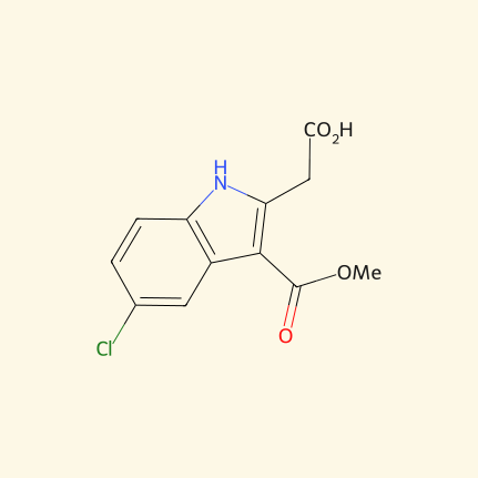 COC(=O)c1c(CC(=O)O)[nH]c2ccc(Cl)cc12